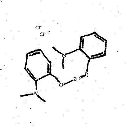 CN(C)c1ccccc1[O][Zr+2][O]c1ccccc1N(C)C.[Cl-].[Cl-]